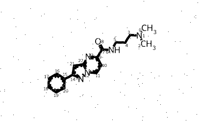 CN(C)CCCNC(=O)c1ccn2nc(-c3ccccc3)cc2n1